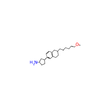 COCCCCCCC1CCc2cc(C3CCC(N)C3)ccc2C1